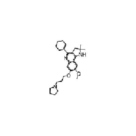 COc1cc2c3c(c(C4=CCCCC4)nc2cc1OCCCN1CCCC1)CC(C)(C)N3